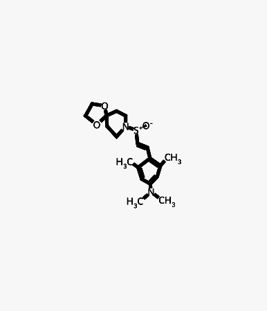 Cc1cc(N(C)C)cc(C)c1/C=C/[S@+]([O-])N1CCC2(CC1)OCCO2